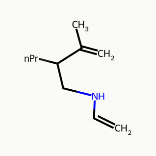 C=CNCC(CCC)C(=C)C